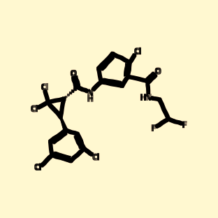 O=C(NCC(F)F)c1cc(NC(=O)[C@@H]2[C@@H](c3cc(Cl)cc(Cl)c3)C2(Cl)Cl)ccc1Cl